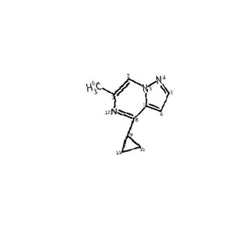 Cc1cn2nccc2c(C2CC2)n1